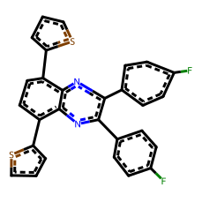 Fc1ccc(-c2nc3c(-c4cccs4)ccc(-c4cccs4)c3nc2-c2ccc(F)cc2)cc1